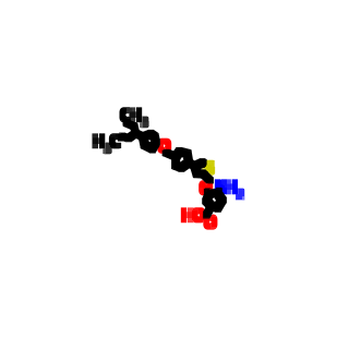 CCCC(CCC)c1ccc(OCc2ccc(-c3csc(COc4cc(C(=O)O)ccc4N)c3)cc2)cc1